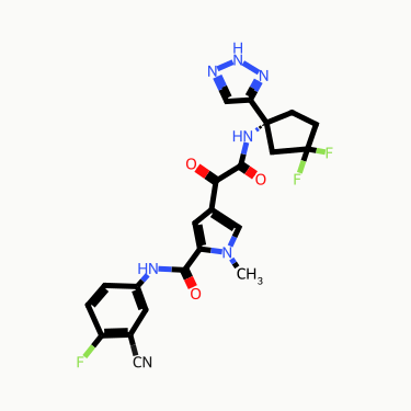 Cn1cc(C(=O)C(=O)N[C@]2(c3cn[nH]n3)CCC(F)(F)C2)cc1C(=O)Nc1ccc(F)c(C#N)c1